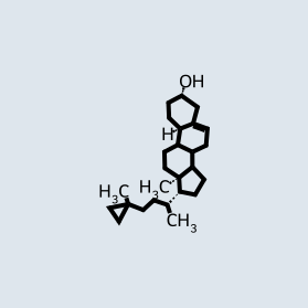 CC(CCC1(C)CC1)[C@H]1CCC2C3CC=C4C[C@@H](O)CC[C@@H]4C3CC[C@@]21C